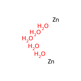 O.O.O.O.O.[Zn].[Zn]